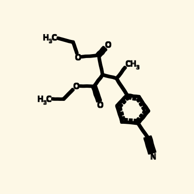 CCOC(=O)C(C(=O)OCC)C(C)c1ccc(C#N)cc1